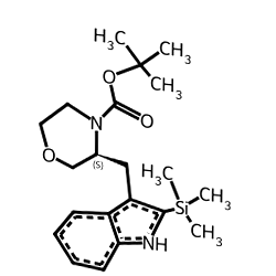 CC(C)(C)OC(=O)N1CCOC[C@@H]1Cc1c([Si](C)(C)C)[nH]c2ccccc12